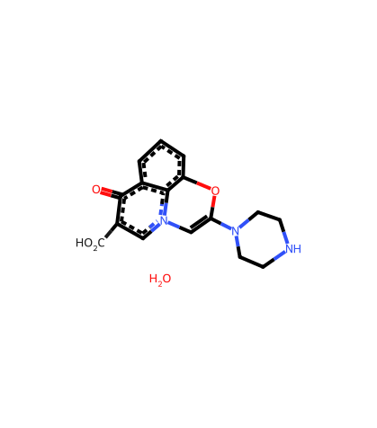 O.O=C(O)c1cn2c3c(cccc3c1=O)OC(N1CCNCC1)=C2